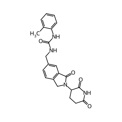 Cc1ccccc1NC(=O)NCc1ccc2c(c1)C(=O)N(C1CCC(=O)NC1=O)C2